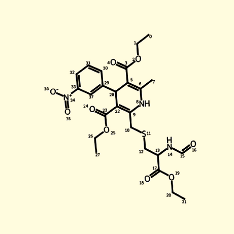 CCOC(=O)C1=C(C)NC(CSCC(NC=O)C(=O)OCC)=C(C(=O)OCC)C1c1cccc([N+](=O)[O-])c1